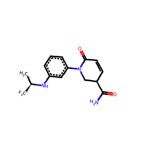 C[C@@H](Nc1cccc(N2CC(C(N)=O)C=CC2=O)c1)C(F)(F)F